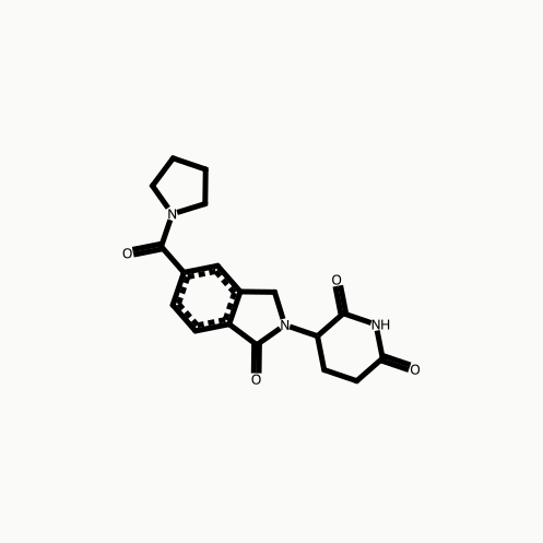 O=C1CCC(N2Cc3cc(C(=O)N4CCCC4)ccc3C2=O)C(=O)N1